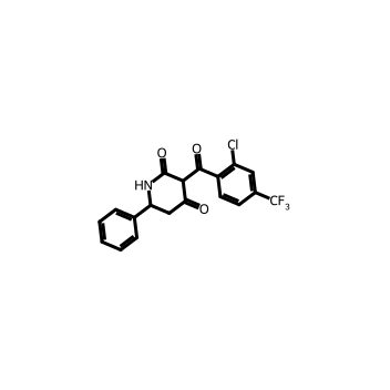 O=C1CC(c2ccccc2)NC(=O)C1C(=O)c1ccc(C(F)(F)F)cc1Cl